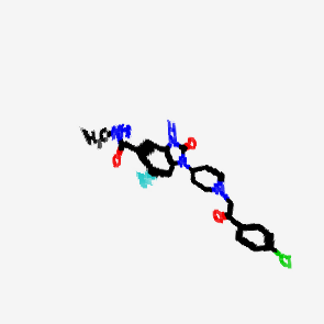 CNC(=O)c1cc2[nH]c(=O)n(C3CCN(CC(=O)c4ccc(Cl)cc4)CC3)c2cc1F